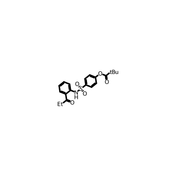 CCC(=O)c1ccccc1NS(=O)(=O)c1ccc(OC(=O)C(C)(C)C)cc1